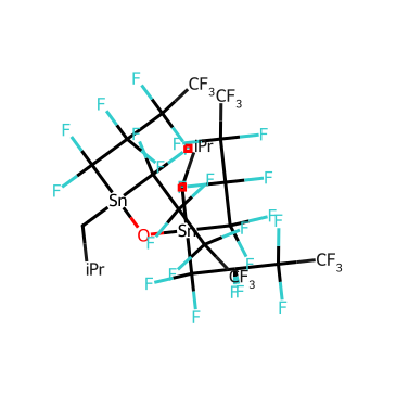 CC(C)[CH2][Sn]([O][Sn]([CH2]C(C)C)([C](F)(F)C(F)(F)C(F)(F)C(F)(F)F)[C](F)(F)C(F)(F)C(F)(F)C(F)(F)F)([C](F)(F)C(F)(F)C(F)(F)C(F)(F)F)[C](F)(F)C(F)(F)C(F)(F)C(F)(F)F